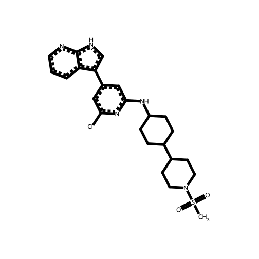 CS(=O)(=O)N1CCC(C2CCC(Nc3cc(-c4c[nH]c5ncccc45)cc(Cl)n3)CC2)CC1